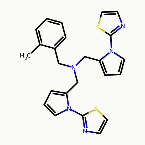 Cc1ccccc1CN(Cc1cccn1-c1nccs1)Cc1cccn1-c1nccs1